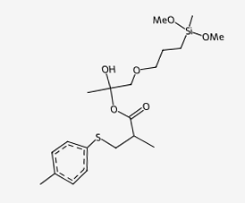 CO[Si](C)(CCCOCC(C)(O)OC(=O)C(C)CSc1ccc(C)cc1)OC